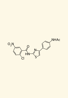 CC(=O)Nc1ccc(-c2csc(NC(=O)c3cc([N+](=O)[O-])ccc3Cl)n2)cc1